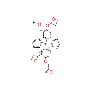 C=C(OCC1CO1)/C(=C\C(=C/C)C(c1ccccc1)(c1ccccc1)c1ccc(OC2CCO2)c(COCC)c1)C1CCO1